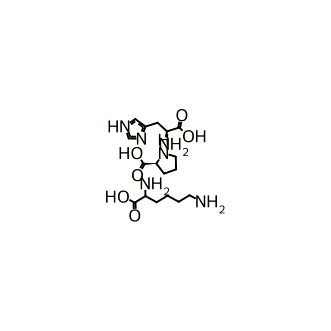 NC(Cc1c[nH]cn1)C(=O)O.NCCCCC(N)C(=O)O.O=C(O)[C@@H]1CCCN1